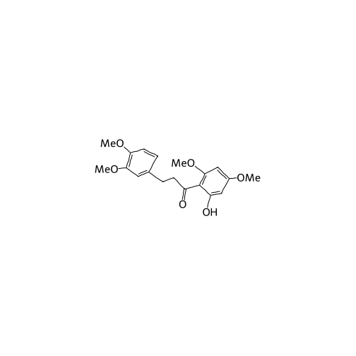 COc1cc(O)c(C(=O)CCc2ccc(OC)c(OC)c2)c(OC)c1